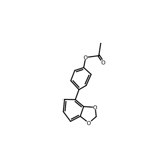 CC(=O)Oc1ccc(-c2[c]ccc3c2OCO3)cc1